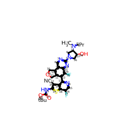 CC(C)N(C)[C@H]1CN(c2ncc3c4c(c(-c5ncc(F)c6sc(NC(=O)OC(C)(C)C)c(C#N)c56)c(F)c3n2)COC4)C[C@@H]1O